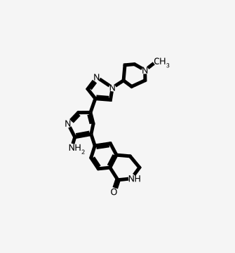 CN1CCC(n2cc(-c3cnc(N)c(-c4ccc5c(c4)CCNC5=O)c3)cn2)CC1